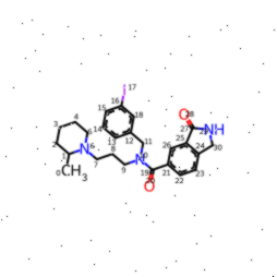 CC1CCCCN1CCCN(Cc1cccc(I)c1)C(=O)c1ccc2c(c1)C(=O)NC2